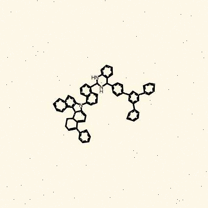 C1=C(c2ccccc2)C2=CC=C3C(c4c(ccc5ccccc45)N3c3cccc4c(C5Nc6ccccc6C(c6ccc(-c7cc(-c8ccccc8)cc(-c8ccccc8)c7)cc6)N5)cccc34)C2CC1